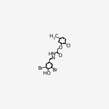 Cc1ccc(Cl)c(OCC(=O)NN=Cc2cc(Br)c(O)c(Br)c2)c1